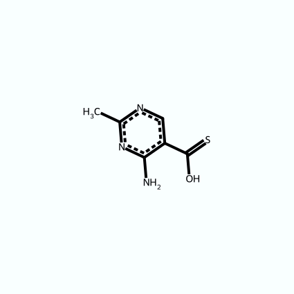 Cc1ncc(C(O)=S)c(N)n1